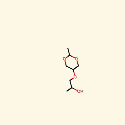 CC(O)COC1COC(C)OC1